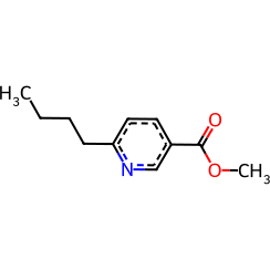 CCCCc1ccc(C(=O)OC)cn1